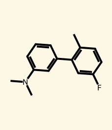 Cc1ccc(F)cc1-c1cccc(N(C)C)c1